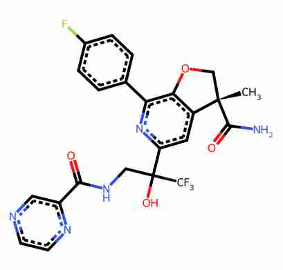 C[C@]1(C(N)=O)COc2c1cc(C(O)(CNC(=O)c1cnccn1)C(F)(F)F)nc2-c1ccc(F)cc1